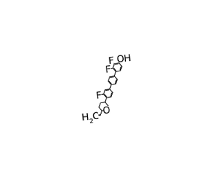 C=CC1CCC(c2ccc(-c3ccc(-c4ccc(O)c(F)c4F)cc3)cc2F)CO1